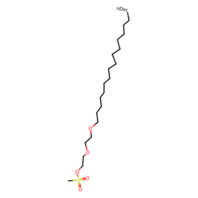 CCCCCCCCCCCCCCCCCCCCCCCCCOCCOCCOS(C)(=O)=O